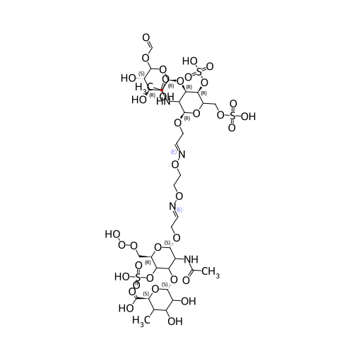 CC(=O)NC1C(O[C@H]2O[C@H](C(=O)O)C(C)C(O)C2O)C(OS(=O)(=O)O)[C@@H](COOO)O[C@@H]1OC/C=N/OCCO/N=C/CO[C@@H]1OC(COS(=O)(=O)O)[C@H](OS(=O)(=O)O)[C@H](O[C@@H]2OC(OC=O)[C@@H](O)[C@H](O)C2O)C1NC(C)=O